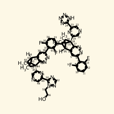 CC1(C)[C@@H]2c3cc(-c4c(F)cccc4F)nnc3[C@@]1(c1cncc(-c3nnn[nH]3)n1)CC2c1ccc(F)c(-c2cc3c(nn2)[C@@]2(c4cncc(-c5ncnn5CCO)n4)CC[C@@H]3C2(C)C)c1F